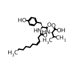 CCCCCC/C=C\CC(=O)N[C@@H](Cc1ccc(O)cc1)C(=O)N[C@H](C(=O)O)C(C)C